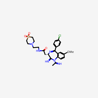 COc1ccc2c(c1)C(c1ccc(Cl)cc1)=N[C@@H](CC(=O)NCCN1CCS(=O)(=O)CC1)C(=N)N2C(C)=N